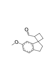 COc1ccc2c(c1)C1(CC2)CCC1C=O